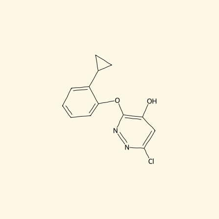 Oc1cc(Cl)nnc1Oc1ccccc1C1CC1